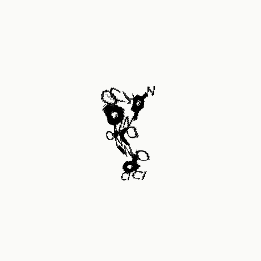 COc1ccc(-n2c(C(=O)NCc3cccc(C#N)c3)c3n(c2=O)CCN(C(=O)c2ccc(Cl)c(Cl)c2)C3)cc1